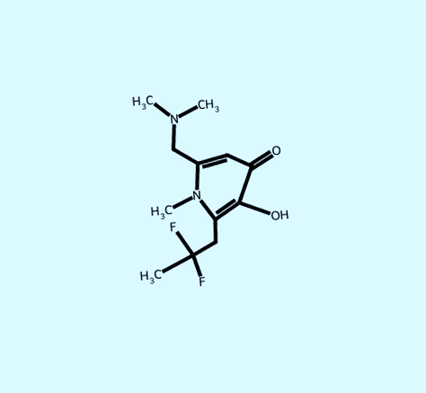 CN(C)Cc1cc(=O)c(O)c(CC(C)(F)F)n1C